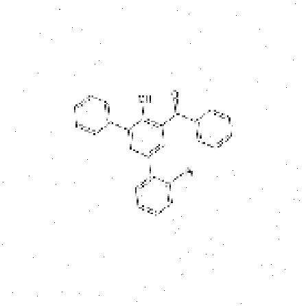 CC(C)c1ccccc1-c1cc(C(=O)c2ccccc2)c(O)c(-c2ccccc2)c1